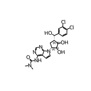 CN(C)C(=O)Nc1ncnc2c1ccn2[C@@H]1C[C@H](C(O)c2ccc(Cl)c(Cl)c2)[C@@H](O)[C@H]1O